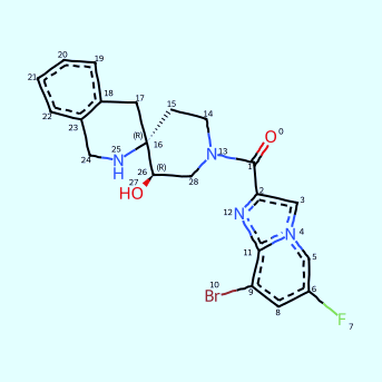 O=C(c1cn2cc(F)cc(Br)c2n1)N1CC[C@]2(Cc3ccccc3CN2)[C@H](O)C1